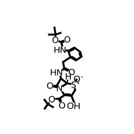 CC(C)(C)OC(=O)Nc1ccccc1CC(=O)NC1C(=O)N2C(C(=O)OC(C)(C)C)=C(CO)C[S+]([O-])[C@@H]12